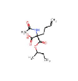 C=CCCC(NC(C)=O)(C(=O)O)C(=O)OC(C)CC